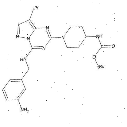 CC(C)c1cnn2c(NCc3cccc(N)c3)nc(N3CCC(NC(=O)OC(C)(C)C)CC3)nc12